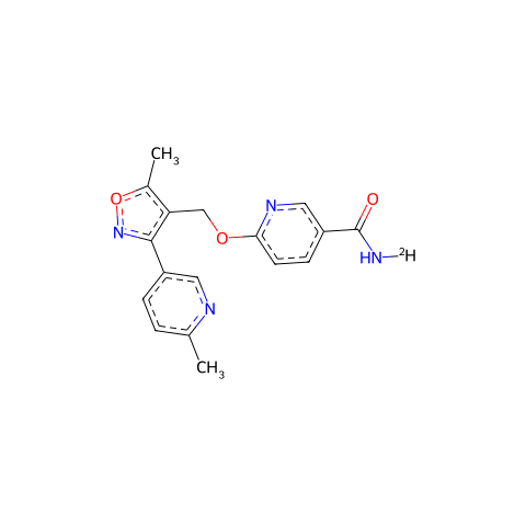 [2H]NC(=O)c1ccc(OCc2c(-c3ccc(C)nc3)noc2C)nc1